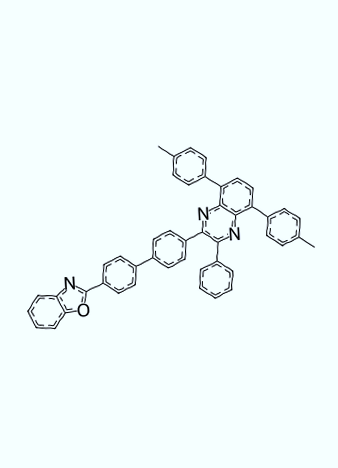 Cc1ccc(-c2ccc(-c3ccc(C)cc3)c3nc(-c4ccc(-c5ccc(-c6nc7ccccc7o6)cc5)cc4)c(-c4ccccc4)nc23)cc1